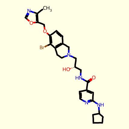 Cc1ncoc1COc1ccc2c(c1Br)CCN(C[C@@H](O)CNC(=O)c1ccnc(NC3CCCC3)c1)C2